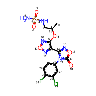 C[C@H](CNS(N)(=O)=O)Oc1nonc1-c1noc(=O)n1-c1ccc(F)c(Cl)c1